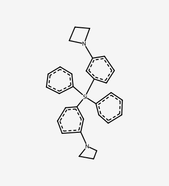 c1ccc([Si](c2ccccc2)(c2cccc(N3CCC3)c2)c2cccc(N3CCC3)c2)cc1